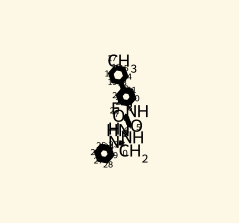 C=C(NNC(=O)C(=O)Nc1ccc(C2CCC(C)CC2)cc1F)Nc1ccccc1